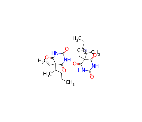 C=CC1(C(C)CCC)C(=O)NC(=O)NC1=O.CC/C=C(\C)C1(CC)C(=O)NC(=O)NC1=O